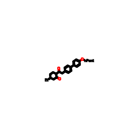 CCCCCOc1ccc(-c2ccc(CC(=O)C3CCC(CC)CC3=O)cc2)cc1